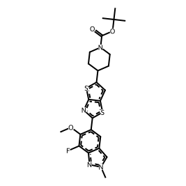 COc1c(-c2nc3sc(C4CCN(C(=O)OC(C)(C)C)CC4)cc3s2)cc2cn(C)nc2c1F